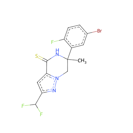 CC1(c2cc(Br)ccc2F)Cn2nc(C(F)F)cc2C(=S)N1